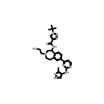 Cc1n[nH]cc1Nc1nccc(-c2ccc3c(c2)CCN(CCO)CC3NC(=O)c2cn(C(C)(C)C)nn2)n1